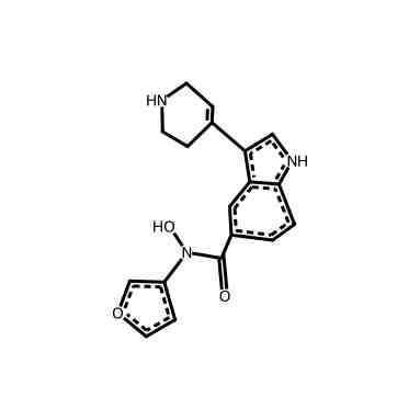 O=C(c1ccc2[nH]cc(C3=CCNCC3)c2c1)N(O)c1ccoc1